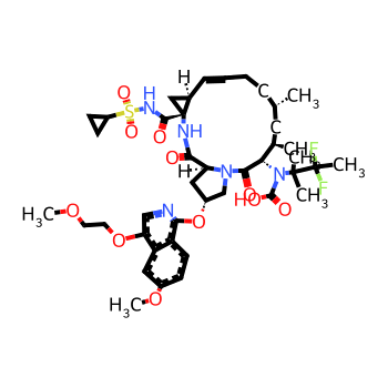 COCCOc1cnc(O[C@@H]2C[C@H]3C(=O)N[C@]4(C(=O)NS(=O)(=O)C5CC5)C[C@H]4C=CCC[C@H](C)C[C@@H](C)[C@H](N(C(=O)O)C(C)(C)C(C)(F)F)C(=O)N3C2)c2ccc(OC)cc12